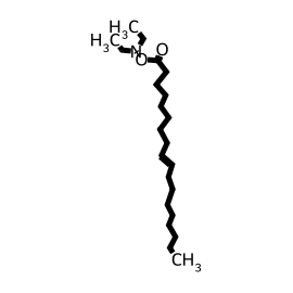 CCCCCCCCC=CCCCCCCCC(=O)ON(CC)CC